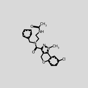 CC(=O)NCCN(Cc1ccccc1)C(=O)c1nn(C)c2c1COc1ccc(Cl)cc1-2